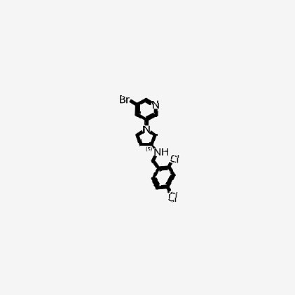 Clc1ccc(CN[C@H]2CCN(c3cncc(Br)c3)C2)c(Cl)c1